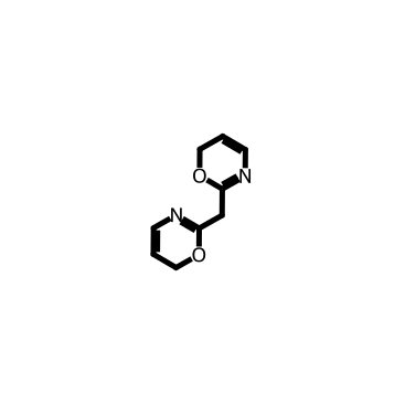 C1=CN=C(CC2=NC=CCO2)OC1